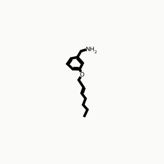 CCCCC=CCOc1cccc(CN)c1